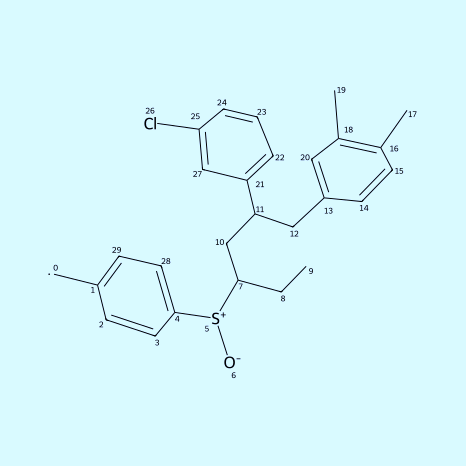 [CH2]c1ccc([S+]([O-])C(CC)CC(Cc2ccc(C)c(C)c2)c2cccc(Cl)c2)cc1